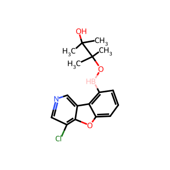 CC(C)(O)C(C)(C)OBc1cccc2oc3c(Cl)cncc3c12